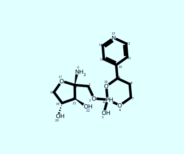 N[C@]1(CO[PH]2(O)OCCC(c3ccncc3)O2)O[CH][C@@H](O)[C@@H]1O